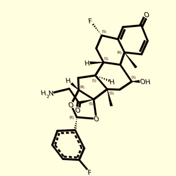 C[C@]12C=CC(=O)C=C1[C@@H](F)C[C@@H]1C2[C@@H](O)C[C@@]2(C)[C@H]1C[C@H]1O[C@@H](c3cccc(F)c3)O[C@]12C(=O)CN